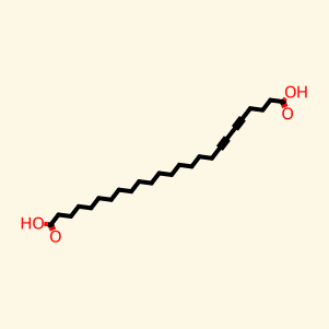 O=C(O)CCCC#CC#CCCCCCCCCCCCCCCCCC(=O)O